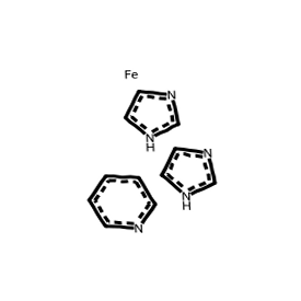 [Fe].c1c[nH]cn1.c1c[nH]cn1.c1ccncc1